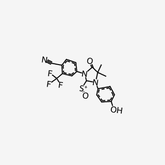 CC1(C)C(=O)N(c2ccc(C#N)c(C(F)(F)F)c2)C([S+]=O)N1c1ccc(O)cc1